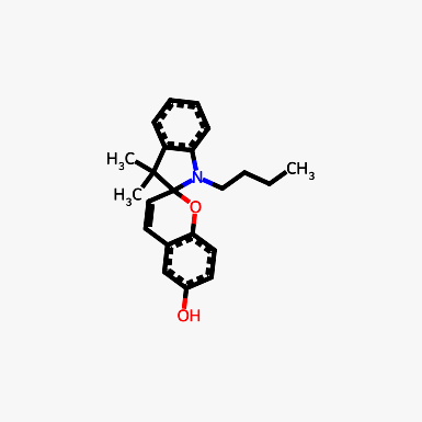 CCCCN1c2ccccc2C(C)(C)C12C=Cc1cc(O)ccc1O2